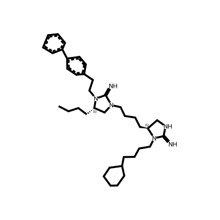 CCCC[C@H]1CN(CCCC[C@H]2CNC(=N)N2CCCCC2CCCCC2)C(=N)N1CCc1ccc(-c2ccccc2)cc1